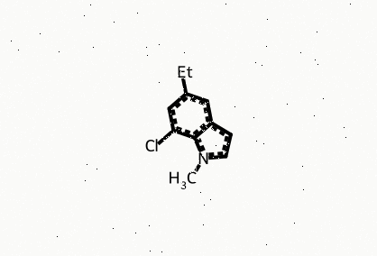 CCc1cc(Cl)c2c(ccn2C)c1